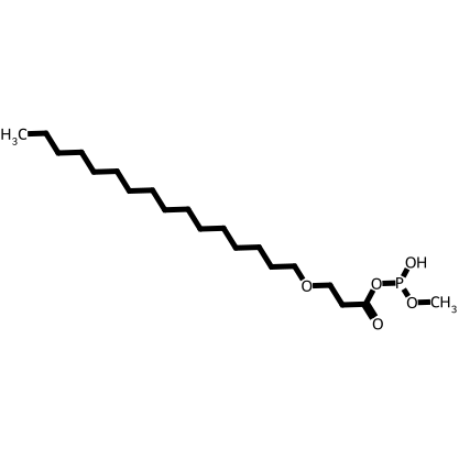 CCCCCCCCCCCCCCCCOCCC(=O)OP(O)OC